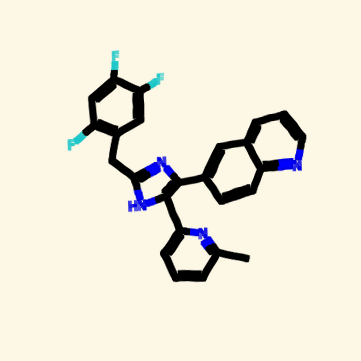 Cc1cccc(-c2[nH]c(Cc3cc(F)c(F)cc3F)nc2-c2ccc3ncccc3c2)n1